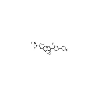 Cl.NC(=O)c1ccc2c(c1)sc1nc(-c3ccc(C4CCNC4)cc3F)cn12